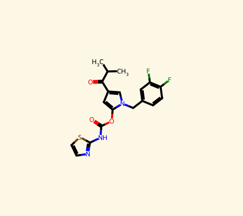 CC(C)C(=O)c1cc(OC(=O)Nc2nccs2)n(Cc2ccc(F)c(F)c2)c1